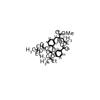 CCC(C)(C)OC(=O)Oc1ccc(C[C@](N)(CC(C)OC(=O)c2ccccc2)C(=O)OC)cc1OC(=O)OC(C)(C)CC